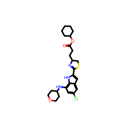 O=C(CCC1CSC(c2cc3cc(Cl)cc(NC4CCOCC4)c3[nH]2)=N1)OC1CCCCC1